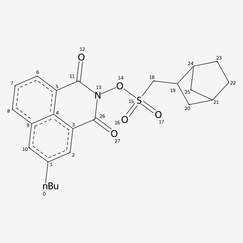 CCCCc1cc2c3c(cccc3c1)C(=O)N(OS(=O)(=O)CC1CC3CCC1C3)C2=O